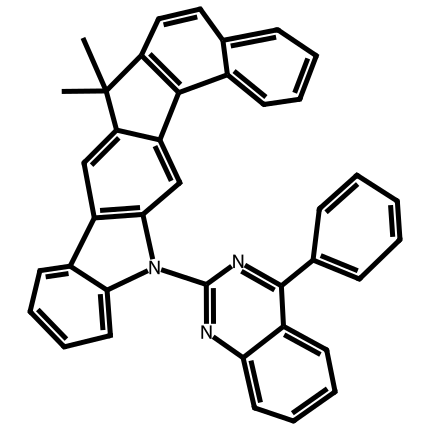 CC1(C)c2cc3c4ccccc4n(-c4nc(-c5ccccc5)c5ccccc5n4)c3cc2-c2c1ccc1ccccc21